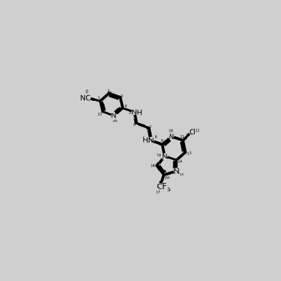 N#Cc1ccc(NCCNc2nc(Cl)cc3nc(C(F)(F)F)cn23)nc1